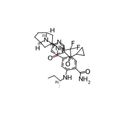 CC[C@@H](C)Nc1cc(C(=O)N[C@H]2C[C@H]3CC[C@@H](C2)N3c2ccc(C(=O)C3CC3)cn2)c(C(F)(F)F)cc1C(N)=O